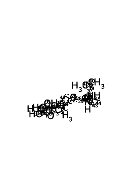 Cc1ccc([C@]23OC[C@]([C@@H](C)O)(O2)[C@@H](O)C(O)[C@H]3O)cc1Cc1ccc(OCCCC(=O)NC2(C(=O)NCCN(C)C)CCCCC2)cc1